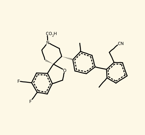 Cc1cc(-c2c(C)cccc2CC#N)ccc1[C@H]1CN(C(=O)O)CC[C@@]12OCc1cc(F)c(F)cc12